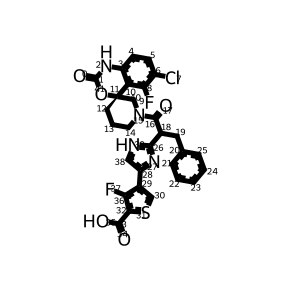 O=C1Nc2ccc(Cl)c(F)c2[C@@]2(CCCN(C(=O)C(Cc3ccccc3)c3nc(-c4csc(C(=O)O)c4F)c[nH]3)C2)O1